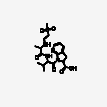 CC(NCCS(C)(=O)=O)C(=O)NC(C(=O)N1c2ncccc2CC1C(=O)O)C(C)C